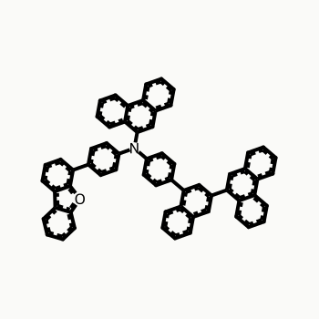 c1ccc2c(-c3ccc(N(c4ccc(-c5cccc6c5oc5ccccc56)cc4)c4cc5ccccc5c5ccccc45)cc3)cc(-c3cc4ccccc4c4ccccc34)cc2c1